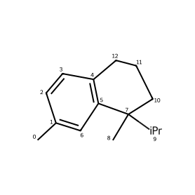 Cc1ccc2c(c1)C(C)(C(C)C)CCC2